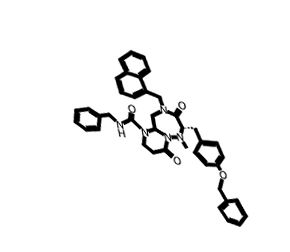 CN1[C@@H](Cc2ccc(OCc3ccccc3)cc2)C(=O)N(Cc2cccc3ccccc23)CC2N(C(=O)NCc3ccccc3)CCC(=O)N21